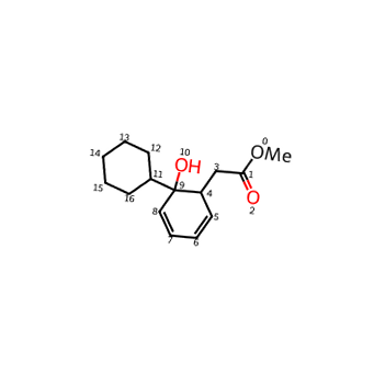 COC(=O)CC1C=CC=CC1(O)C1CCCCC1